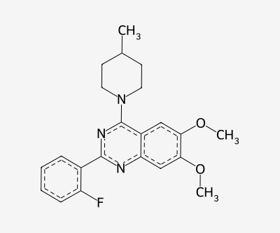 COc1cc2nc(-c3ccccc3F)nc(N3CCC(C)CC3)c2cc1OC